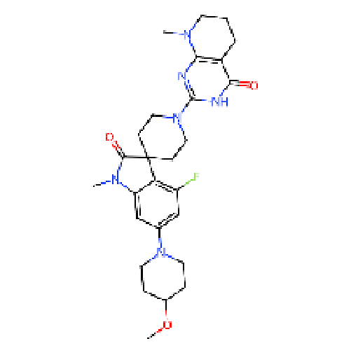 COC1CCN(c2cc(F)c3c(c2)N(C)C(=O)C32CCN(c3nc4c(c(=O)[nH]3)CCCN4C)CC2)CC1